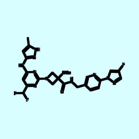 COC1(C(=O)NCc2ccc(-n3cc(F)cn3)nc2)CN(c2nc(Nc3cc(C)[nH]n3)cc(C(F)F)n2)C1